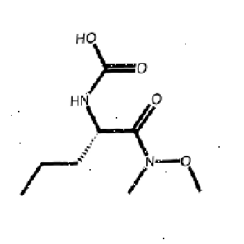 CCC[C@H](NC(=O)O)C(=O)N(C)OC